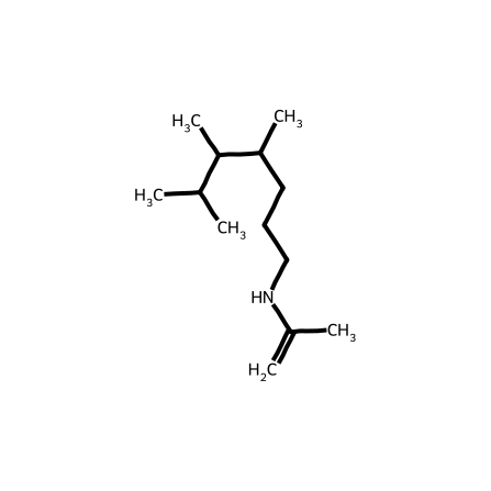 C=C(C)NCCCC(C)C(C)C(C)C